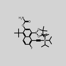 CC(C)[Si](C#Cc1c(F)ccc2c(C(C)(C)C)c(OC(N)=O)cc(B3OC(C)(C)C(C)(C)O3)c12)(C(C)C)C(C)C